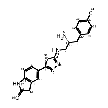 N[C@@H](CNc1nnc(-c2ccc3c(c2)CC(=O)N3)s1)Cc1ccc(Cl)cc1